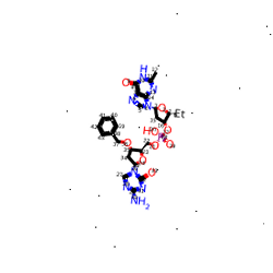 CC[C@H]1O[C@@H](n2cnc3c(=O)[nH]c(C)nc32)CC1OP(=O)(O)OC[C@H]1O[C@@H](n2cnc(N)nc2=O)CC1OCc1ccccc1